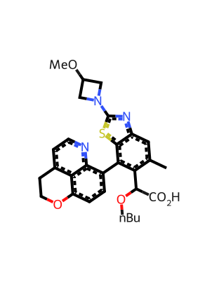 CCCCOC(C(=O)O)c1c(C)cc2nc(N3CC(OC)C3)sc2c1-c1ccc2c3c(ccnc13)CCO2